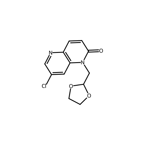 O=c1ccc2ncc(Cl)cc2n1CC1OCCO1